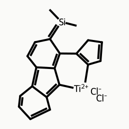 CC1=C(c2c3c(ccc2=[Si](C)C)=c2ccccc2=[C]3[Ti+2])CC=C1.[Cl-].[Cl-]